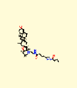 CCCC(=O)NCCCCCC(=O)NCCN1C[C@@H](C)C[C@H]2O[C@]3(CC[C@@H]4C(=C(C)C3)C[C@H]3[C@H]4CCC4=CC(=O)CC[C@@]43C)[C@H](C)[C@@H]21